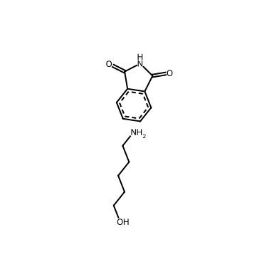 NCCCCCO.O=C1NC(=O)c2ccccc21